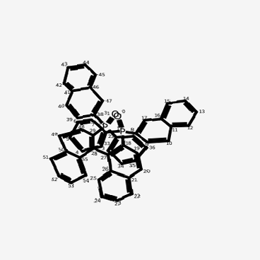 O=P(c1ccccc1)(c1ccc2ccccc2c1)c1ccc2ccccc2c1-c1c(P(=O)(c2ccccc2)c2ccc3ccccc3c2)ccc2ccccc12